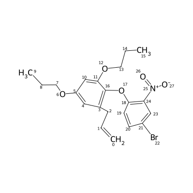 C=CCc1cc(OCCC)cc(OCCC)c1Oc1ccc(Br)cc1[N+](=O)[O-]